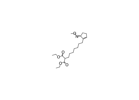 CCOC(=O)C(CCCCCCCC1=CCCC1=NOC)C(=O)OCC